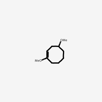 COC1=CCC(OC)CCCC1